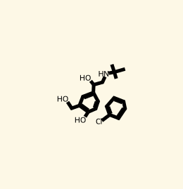 CC(C)(C)NCC(O)c1ccc(O)c(CO)c1.Clc1ccccc1